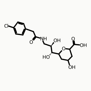 O=C(Cc1ccc(Cl)cc1)NC[C@@H](O)[C@@H](O)C1CC(O)CC(C(=O)O)O1